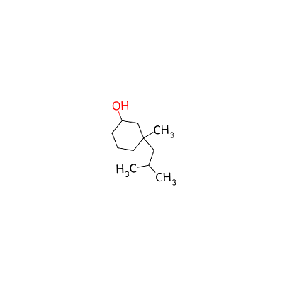 CC(C)CC1(C)CCCC(O)C1